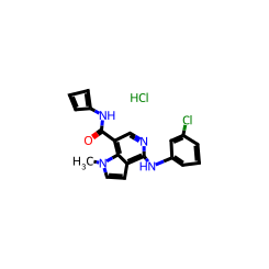 Cl.Cn1ccc2c(Nc3cccc(Cl)c3)ncc(C(=O)NC3=CC=C3)c21